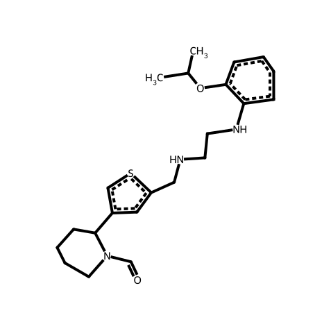 CC(C)Oc1ccccc1NCCNCc1cc(C2CCCCN2C=O)cs1